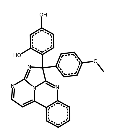 COc1ccc(C2(c3ccc(O)cc3O)N=C3N=CC=C4c5ccccc5N=C2N43)cc1